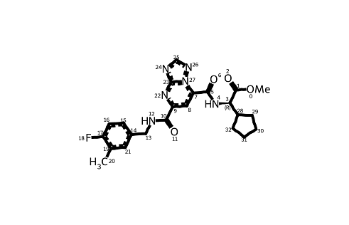 COC(=O)[C@H](NC(=O)c1cc(C(=O)NCc2ccc(F)c(C)c2)nc2ncnn12)C1CCCC1